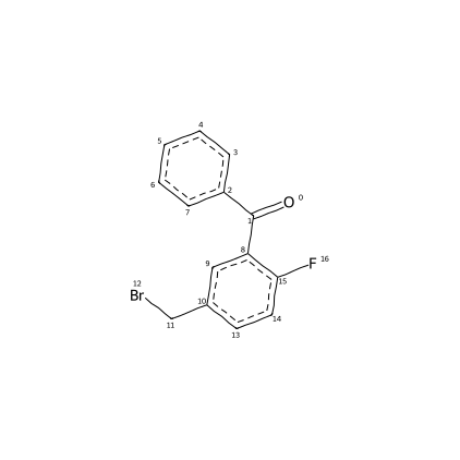 O=C(c1ccccc1)c1cc(CBr)ccc1F